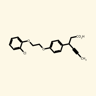 CC#CC(CC(=O)O)c1ccc(OCCOc2ccccc2Cl)cc1